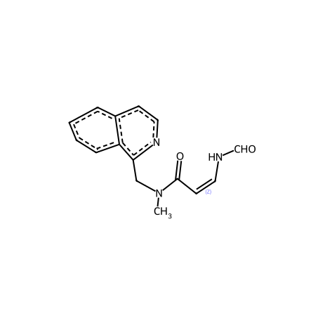 CN(Cc1nccc2ccccc12)C(=O)/C=C\NC=O